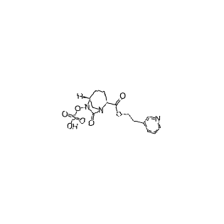 O=C(OCCc1cccnc1)C1CC[C@@H]2CN1C(=O)N2OS(=O)(=O)O